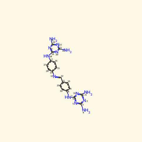 Nc1nc(N)nc(Nc2ccc(/C=N/c3ccc(Nc4nc(N)nc(N)n4)cc3)cc2)n1